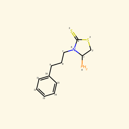 PC1CSC(=S)N1CCCc1ccccc1